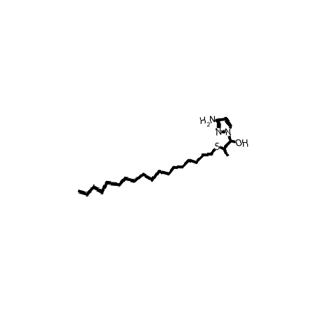 CCCCCCCCCCCCCCCCCCSC(C)C(O)n1ccc(N)n1